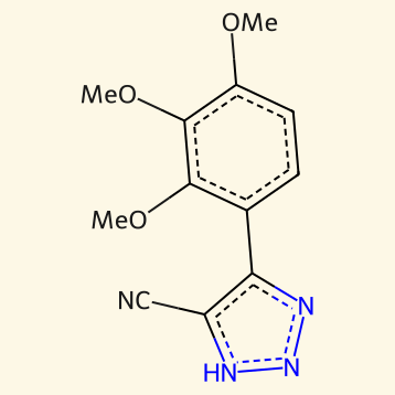 COc1ccc(-c2nn[nH]c2C#N)c(OC)c1OC